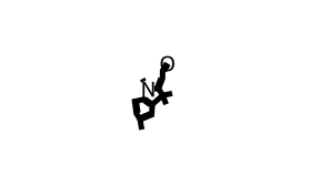 Cc1ccc2c(c1)C(C)(C)/C(=C/C=O)N2C